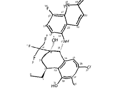 CC[C@H]1C[C@@](O)(C(F)(F)F)[C@H](Nc2ccc(F)c3[nH]c(=O)ccc23)c2cc(Cl)c(C)c(O)c21